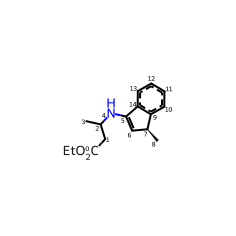 CCOC(=O)CC(C)NC1=C[C@H](C)c2ccccc21